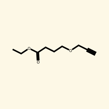 C#CCOCCCC(=O)OCC